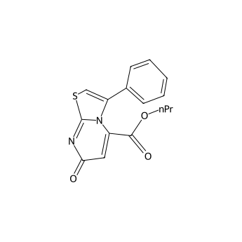 CCCOC(=O)c1cc(=O)nc2scc(-c3ccccc3)n12